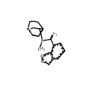 C=C(c1cccc2cnoc12)N(C)C1CN2CCC1CC2